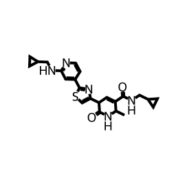 CC1NC(=O)C(c2csc(-c3ccnc(NCC4CC4)c3)n2)C=C1C(=O)NCC1CC1